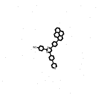 N#Cc1ccc(-c2nc(-c3ccc(-c4ccncc4)cc3)cc(-c3ccc(-c4ccc5ccc6cccc7ccc4c5c67)cc3)n2)cc1